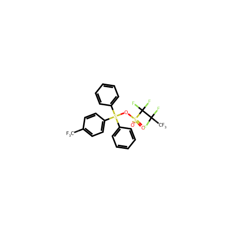 O=S(=O)(OS(c1ccccc1)(c1ccccc1)c1ccc(C(F)(F)F)cc1)C(F)(F)C(F)(F)C(F)(F)F